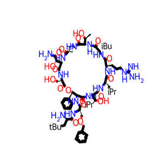 CC[C@H](C)C1NC(=O)[C@@H](CCCNC(=N)N)NC(=O)[C@H](CC(C)C)NC(=O)[C@H]([C@H](O)C(C)C)NC(=O)[C@@H](NC(=O)[C@H](COCc2ccccc2)NC(=O)[C@H](N)CC(C)(C)C)[C@@H](c2ccccc2)OC(=O)[C@H](CO)NC(=O)[C@H]([C@H](O)C(N)=O)NC(=O)CNC(=O)[C@H]([C@H](C)O)NC1=O